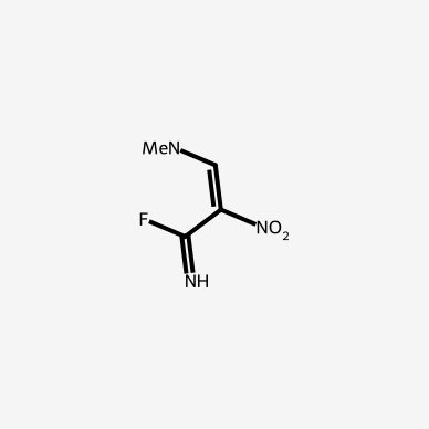 CN/C=C(\C(=N)F)[N+](=O)[O-]